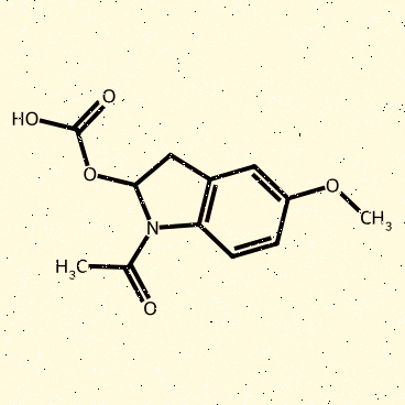 COc1ccc2c(c1)CC(OC(=O)O)N2C(C)=O